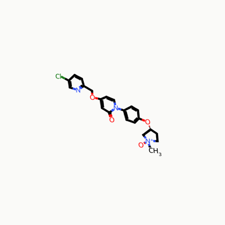 C[N+]1([O-])CC[C@@H](Oc2ccc(-n3ccc(OCc4ccc(Cl)cn4)cc3=O)cc2)C1